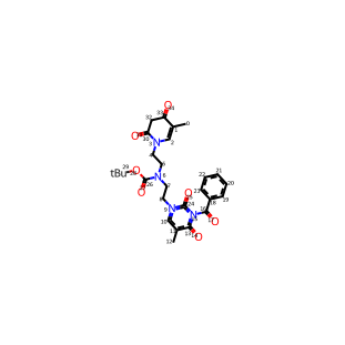 CC1=CN(CCN(CCn2cc(C)c(=O)n(C(=O)c3ccccc3)c2=O)C(=O)OC(C)(C)C)C(=O)CC1=O